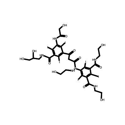 O=C(CO)Nc1c(I)c(C(=O)CC(=O)N(NCCO)c2c(I)c(C(=O)NCCO)c(I)c(C(=O)NCCO)c2I)c(I)c(C(=O)NCC(O)CO)c1I